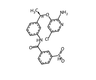 C[C@@H](Oc1cc(Cl)cnc1N)c1cccc(NC(=O)c2cccc([SH](=O)=O)c2)c1